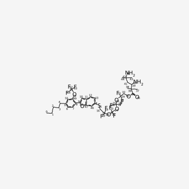 CCCCCc1ccc(-c2cc3ccc(SCC(F)(F)OC(F)(F)OC(F)(F)OC(F)(F)COC(=O)C(C)(C)C(N)CC(C)(C)N)cc3o2)c(OC(F)(F)F)c1